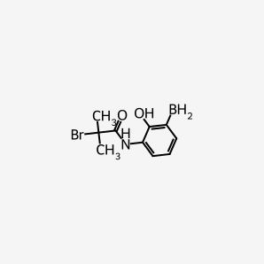 Bc1cccc(NC(=O)C(C)(C)Br)c1O